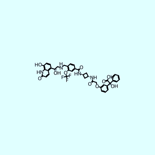 O=C(COc1cccc([C@](O)(C(=O)O)c2ccccc2)c1)N[C@H]1C[C@H](NC(=O)c2ccc(CNC[C@H](O)c3ccc(O)c4[nH]c(=O)ccc34)c(OC(F)(F)F)c2)C1